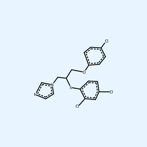 Clc1ccc(OCC(Cn2ccnc2)Sc2ccc(Cl)cc2Cl)cc1